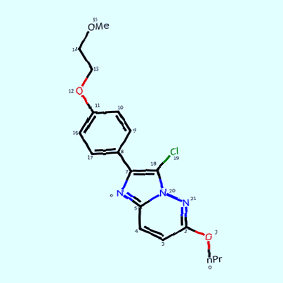 CCCOc1ccc2nc(-c3ccc(OCCOC)cc3)c(Cl)n2n1